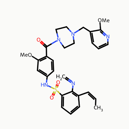 C=Nc1c(/C=C\C)cccc1S(=O)(=O)Nc1ccc(C(=O)N2CCN(Cc3cccnc3OC)CC2)c(OC)c1